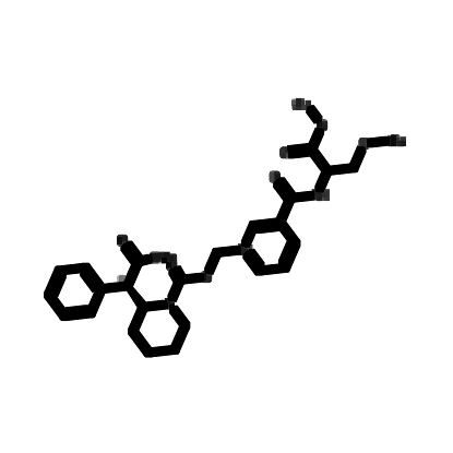 COC(=O)[C@H](c1ccccc1)C1CCCCN1C(=O)OC[n+]1cccc(C(=O)NC(COC(C)(C)C)C(=O)OC(C)(C)C)c1